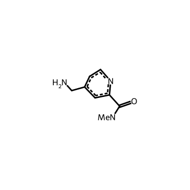 CNC(=O)c1cc(CN)ccn1